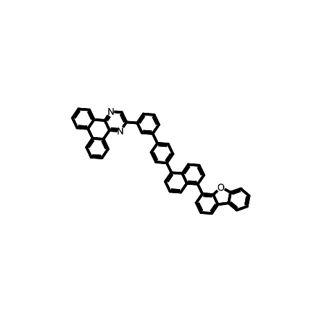 c1cc(-c2ccc(-c3cccc4c(-c5cccc6c5oc5ccccc56)cccc34)cc2)cc(-c2cnc3c4ccccc4c4ccccc4c3n2)c1